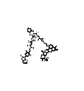 C=C1OCc2c(cc3n(c2=O)Cc2c-3nc3cc(F)c(C)c4c3c2[C@@H](OCCOCNC(=O)CNC(=O)[C@H](Cc2ccccc2)NC(=O)CNC(=O)CNC(=O)CCc2c(C)cc(N3C(=O)CC(SC)C3=O)cc2C)CC4)[C@@]1(O)CC